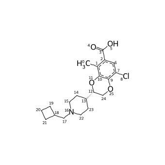 Cc1c(C(=O)O)cc(Cl)c2c1O[C@@H](C1CCN(CC3CCC3)CC1)CO2